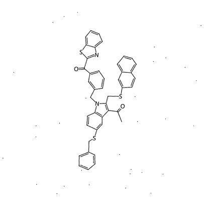 CC(=O)c1c(CSc2ccc3ccccc3c2)n(Cc2cccc(C(=O)c3nc4ccccc4s3)c2)c2ccc(SCc3ccccc3)cc12